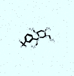 CC[C@H]1CN([C@@H](CC)c2cccc(C(F)(F)F)c2)[C@H](CC)CN1C